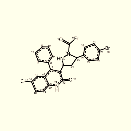 CCC(=O)N1NC(c2c(-c3ccccc3)c3cc(Cl)ccc3[nH]c2=O)CC1c1ccc(Br)cc1